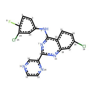 Fc1ccc(Nc2nc(-c3cnccn3)nc3cc(Cl)ccc23)cc1Cl